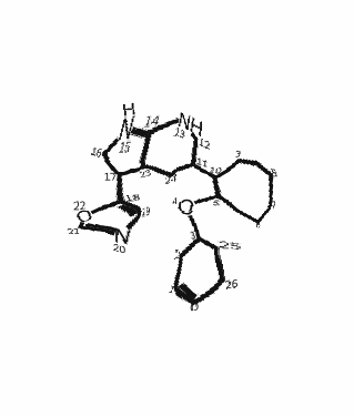 C1=CCC(OC2CCCCC2C2CNC3NCC(c4cnco4)C3C2)CC1